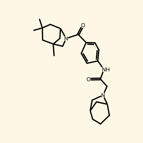 CC1(C)CC2CC(C)(CN2C(=O)c2ccc(NC(=O)CN3CC4CCCC3C4)cc2)C1